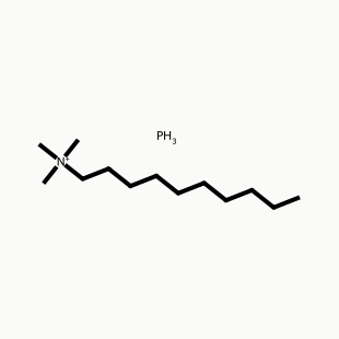 CCCCCCCCCC[N+](C)(C)C.P